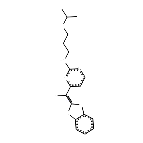 CC(C)OCCCNc1nccc(/C(N)=C2/Nc3ccccc3O2)n1